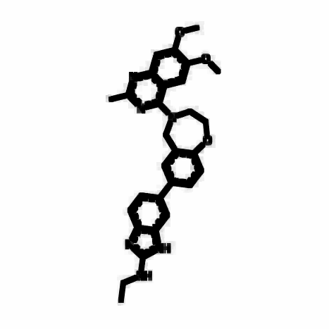 CCNc1nc2ccc(-c3ccc4c(c3)CN(c3nc(C)nc5cc(OC)c(OC)cc35)CCO4)cc2[nH]1